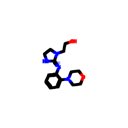 OCCN1CCN/C1=N\c1ccccc1N1CCOCC1